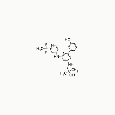 CC(C)(O)CNc1cc(Nc2ccnc(C(C)(F)F)c2)nc(-c2cccc(O)c2)n1